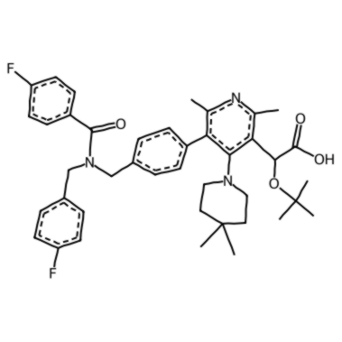 Cc1nc(C)c(C(OC(C)(C)C)C(=O)O)c(N2CCC(C)(C)CC2)c1-c1ccc(CN(Cc2ccc(F)cc2)C(=O)c2ccc(F)cc2)cc1